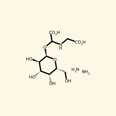 N.N.O=C(O)CNC(O[C@H]1O[C@H](CO)[C@H](O)[C@H](O)[C@H]1O)C(=O)O